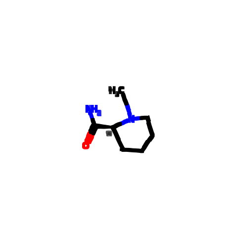 CN1CCC[CH][C@H]1C(N)=O